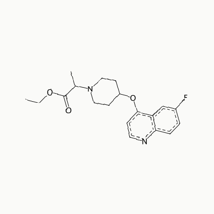 CCOC(=O)C(C)N1CCC(Oc2ccnc3ccc(F)cc23)CC1